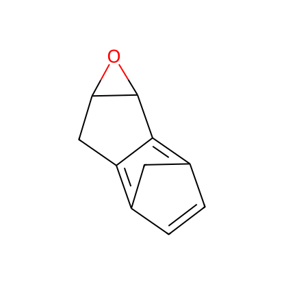 C1=CC2=C3C(=C1C2)CC1OC31